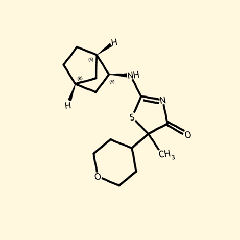 CC1(C2CCOCC2)SC(N[C@H]2C[C@@H]3CC[C@H]2C3)=NC1=O